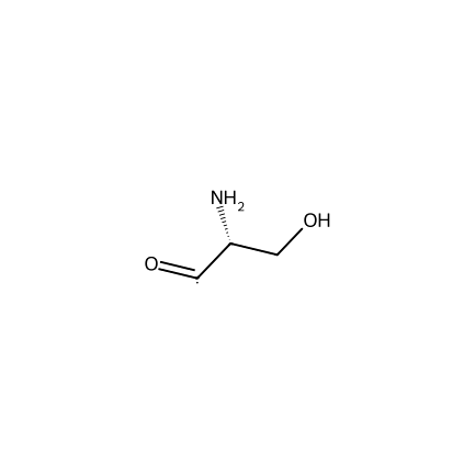 N[C@@H]([C]=O)CO